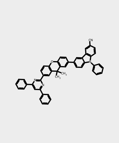 CC1(C)c2cc(-c3ccc4c(c3)c3cc(C#N)ccc3n4-c3ccccc3)ccc2Oc2ccc(-c3nc(-c4ccccc4)cc(-c4ccccc4)n3)cc21